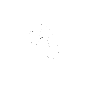 COc1ccc2ncnc(N3CCCC(CNSC)C3)c2c1